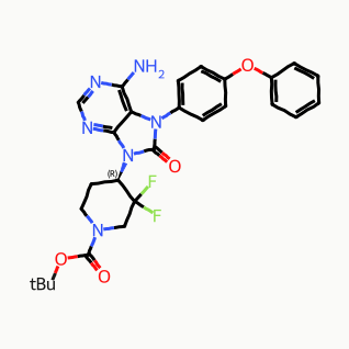 CC(C)(C)OC(=O)N1CC[C@@H](n2c(=O)n(-c3ccc(Oc4ccccc4)cc3)c3c(N)ncnc32)C(F)(F)C1